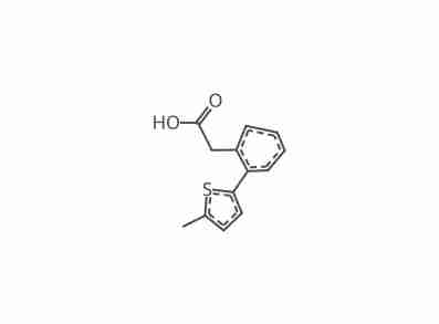 Cc1ccc(-c2ccccc2CC(=O)O)s1